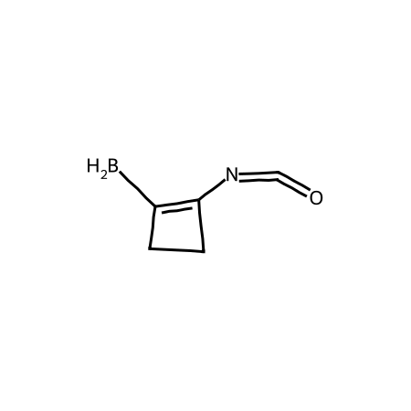 BC1=C(N=C=O)CC1